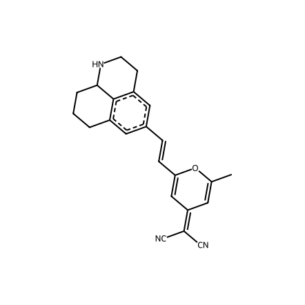 CC1=CC(=C(C#N)C#N)C=C(/C=C/c2cc3c4c(c2)CCNC4CCC3)O1